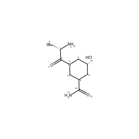 CC(C)(C)[C@H](N)C(=O)N1CCCC(C(N)=O)C1.Cl